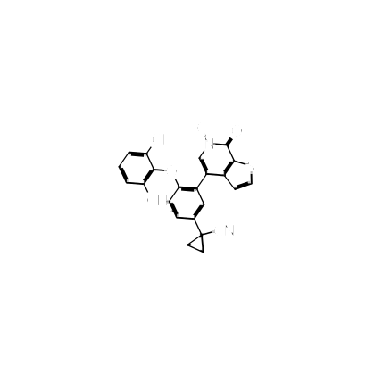 Cc1cccc(C)c1Oc1ccc(C2(C#N)CC2)cc1-c1cn(C)c(=O)c2sccc12